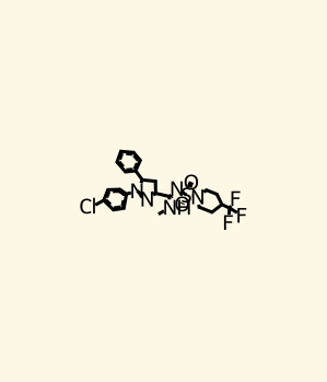 CNC(=NS(=O)(=O)N1CCC(C(F)(F)F)CC1)C1=NN(c2ccc(Cl)cc2)C(c2ccccc2)C1